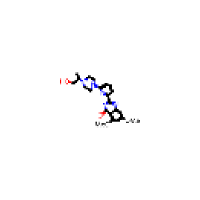 COc1cc(OC)c2c(=O)[nH]c(-c3cccc(N4CCN(C(C)CO)CC4)n3)nc2c1